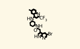 Cc1ccc2nc(C(F)(F)F)cc(N[C@H]3CCC[C@@H](NC(=O)Cc4c[nH]c5ncc(Br)cc45)C3)c2c1